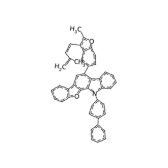 C=C(C)/C=C\c1c(C)oc2ccc(-c3cc4c5ccccc5oc4c4c3c3ccccc3n4-c3ccc(-c4ccccc4)cc3)cc12